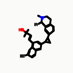 CC(C)C1c2cc(C3CC3c3cc(C=CC(C)(C)O)c4cc(C#N)ccc4c3)ccc2CCN1C